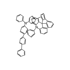 c1ccc(-c2ccc(-c3ccc(N(c4ccccc4)c4ccc(-c5cccc6c5C5(c7ccccc7-6)c6ccccc6N(c6ccccc6)c6ccccc65)cc4)cc3)cc2)cc1